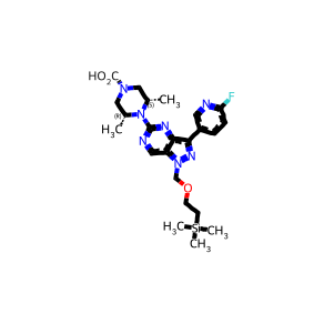 C[C@@H]1CN(C(=O)O)C[C@H](C)N1c1ncc2c(n1)c(-c1ccc(F)nc1)nn2COCC[Si](C)(C)C